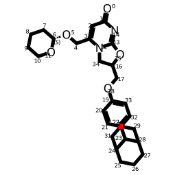 O=c1cc(CO[C@H]2CCCCO2)n2c(n1)OC(COc1ccc(C3C4CCCC3CCC4)cc1)C2